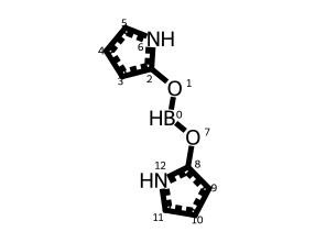 B(Oc1ccc[nH]1)Oc1ccc[nH]1